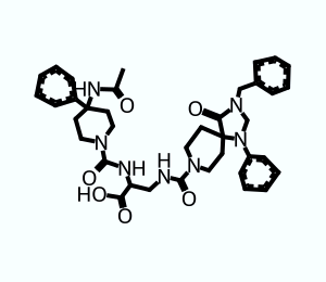 CC(=O)NC1(c2ccccc2)CCN(C(=O)NC(CNC(=O)N2CCC3(CC2)C(=O)N(Cc2ccccc2)CN3c2ccccc2)C(=O)O)CC1